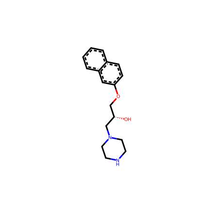 O[C@@H](COc1ccc2ccccc2c1)CN1CCNCC1